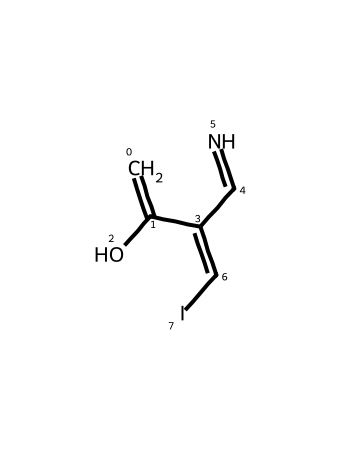 C=C(O)/C(C=N)=C\I